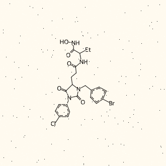 CCC(NC(=O)CCC1C(=O)N(c2ccc(Cl)cc2)C(=O)N1Cc1ccc(Br)cc1)C(=O)NO